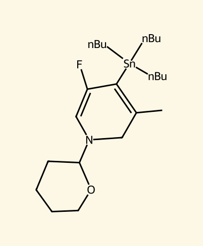 CCC[CH2][Sn]([CH2]CCC)([CH2]CCC)[C]1=C(C)CN(C2CCCCO2)C=C1F